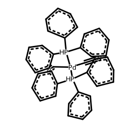 N#[C][Pd]([C]#N)([PH](c1ccccc1)(c1ccccc1)c1ccccc1)[PH](c1ccccc1)(c1ccccc1)c1ccccc1